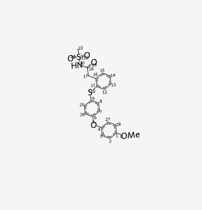 COc1ccc(Oc2ccc(Sc3ccccc3CC(=O)NS(C)(=O)=O)cc2)cc1